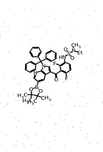 CCN(C)S(=O)(=O)Nc1ccc(F)c(C(=O)c2cn(C(c3ccccc3)(c3ccccc3)c3ccccc3)c3ncc(B4OC(C)(C)C(C)(C)O4)cc23)c1F